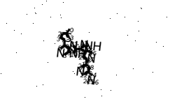 Cc1ccc(-c2cncc3[nH]c(-c4n[nH]c5cnc(-c6cncc(CN(C)C)c6)cc45)nc23)s1